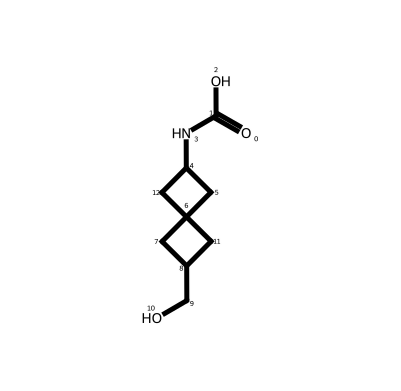 O=C(O)NC1CC2(CC(CO)C2)C1